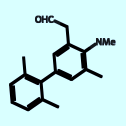 CNc1c(C)cc(-c2c(C)cccc2C)cc1CC=O